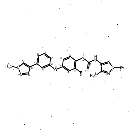 Cc1nn(C(C)C)cc1NC(=O)Nc1ccc(Oc2ccnc(-c3cnn(C)c3)c2)cc1F